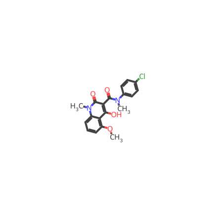 COc1cccc2c1c(O)c(C(=O)N(C)c1ccc(Cl)cc1)c(=O)n2C